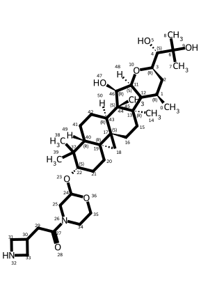 C[C@@H]1C[C@H]([C@H](O)C(C)(C)O)O[C@H]2C1[C@@]1(C)CC[C@@]34C[C@@]35CC[C@H](OC3CN(C(=O)CC6CNC6)CCO3)C(C)(C)[C@@H]5CC[C@H]4[C@]1(C)[C@H]2O